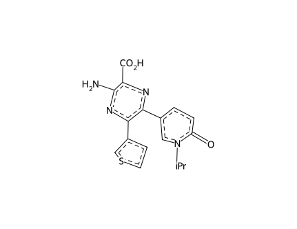 CC(C)n1cc(-c2nc(C(=O)O)c(N)nc2-c2ccsc2)ccc1=O